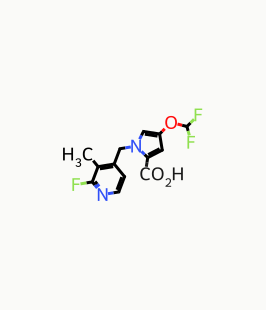 Cc1c(Cn2cc(OC(F)F)cc2C(=O)O)ccnc1F